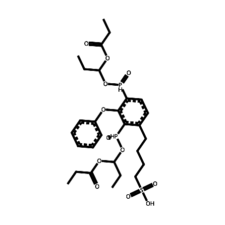 CCC(=O)OC(CC)O[PH](=O)c1ccc(CCCCS(=O)(=O)O)c([PH](=O)OC(CC)OC(=O)CC)c1Oc1ccccc1